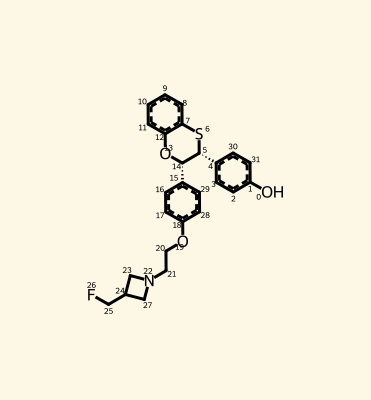 Oc1ccc([C@H]2Sc3ccccc3O[C@H]2c2ccc(OCCN3CC(CF)C3)cc2)cc1